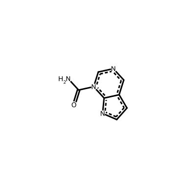 NC(=O)n1cncc2ccnc1-2